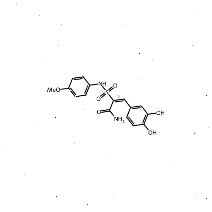 COc1ccc(NS(=O)(=O)/C(=C/c2ccc(O)c(O)c2)C(N)=O)cc1